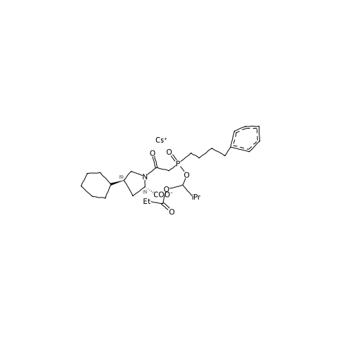 CCC(=O)OC(OP(=O)(CCCCc1ccccc1)CC(=O)N1C[C@H](C2CCCCC2)C[C@H]1C(=O)[O-])C(C)C.[Cs+]